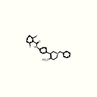 O=C(O)C1=C(c2ccc(NC(=O)c3c(F)cccc3F)cc2)CN(Cc2ccccc2)CC1